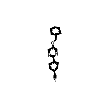 N#Cc1ccc(-c2ncc(OCc3ccccc3)cn2)cc1